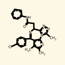 Cc1sc2c(c1C)C(c1ccc(Cl)cc1)=NC(CC(=O)Nc1ccccc1)c1nnc(C)n1-2